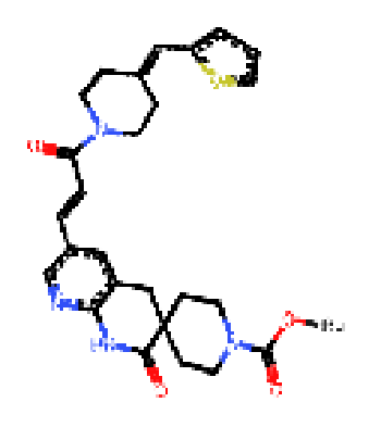 CC(C)(C)OC(=O)N1CCC2(CC1)Cc1cc(C=CC(=O)N3CCC(=Cc4cccs4)CC3)cnc1NC2=O